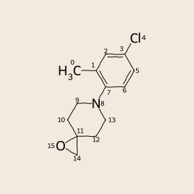 Cc1cc(Cl)ccc1N1CCC2(CC1)CO2